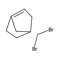 BrCBr.C1=C2CCC(C1)C2